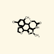 Cc1cc(Cl)ccc1C1SCC(=O)Nc2c1c(C1CCCO1)nn2C